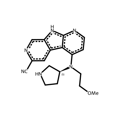 COCCN(c1ccnc2[nH]c3cnc(C#N)cc3c12)[C@H]1CCNC1